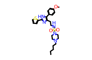 CCCCCN1CCN(S(=O)(=O)NCCc2nc(-c3cccs3)[nH]c2-c2ccc(OC)cc2)CC1